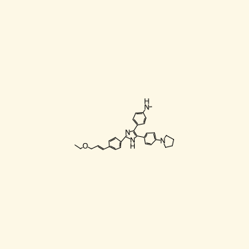 CCOCC=Cc1ccc(-c2nc(-c3ccc(NC)cc3)c(-c3ccc(N4CCCC4)cc3)[nH]2)cc1